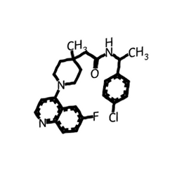 CC(NC(=O)CC1(C)CCN(c2ccnc3ccc(F)cc23)CC1)c1ccc(Cl)cc1